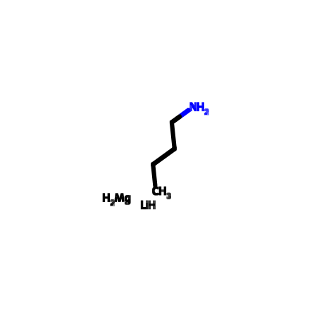 CCCCN.[LiH].[MgH2]